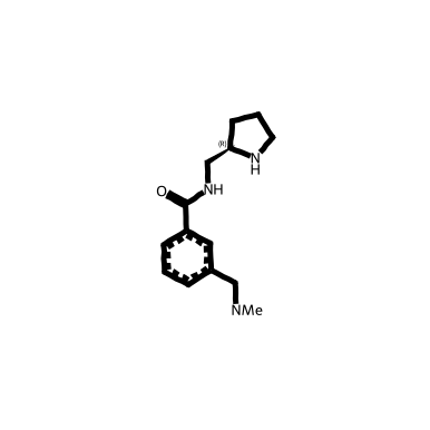 CNCc1cccc(C(=O)NC[C@H]2CCCN2)c1